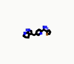 NC(c1ccc(Cc2c[nH]c3ncccc23)cn1)c1cccs1